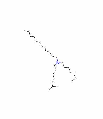 CCCCCCCCCCCCN(CCCCCC(C)C)CCCCCC(C)C